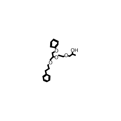 CC(O)COCCOC(COCCCc1ccccc1)COc1ccccc1